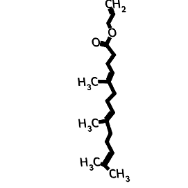 C=CCOC(=O)CC/C=C(\C)CC/C=C(\C)CCC=C(C)C